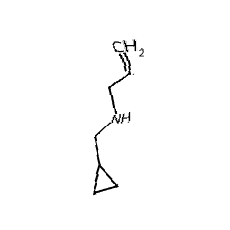 C=[C]CNCC1CC1